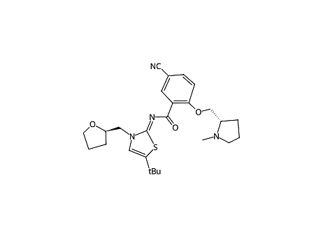 CN1CCC[C@H]1COc1ccc(C#N)cc1C(=O)N=c1sc(C(C)(C)C)cn1C[C@H]1CCCO1